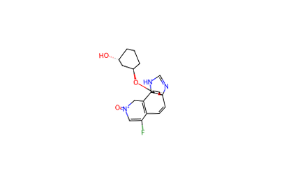 O=[N+]1C=C(F)C2=C(C1)C13NC=NC1(C=CCC3O[C@@H]1CCC[C@@H](O)C1)C=C2